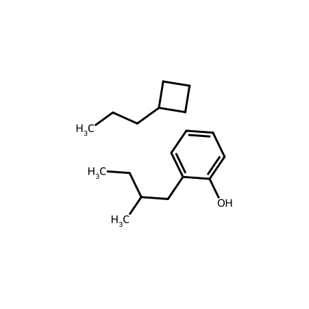 CCC(C)Cc1ccccc1O.CCCC1CCC1